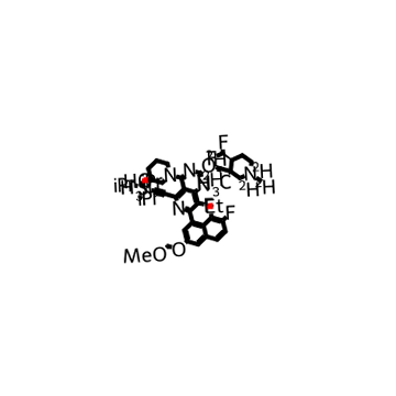 [2H]C([2H])([2H])N1CC[C@H](C(F)F)[C@](C)(C([2H])([2H])Oc2nc(N3CCC[C@@](C)(O)C3)c3c(C#C[Si](C(C)C)(C(C)C)C(C)C)nc(-c4cc(OCOC)cc5ccc(F)c(CC)c45)c(F)c3n2)C1